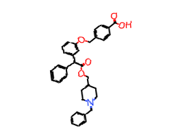 O=C(O)c1ccc(COc2cccc(C(C(=O)OCC3CCN(Cc4ccccc4)CC3)c3ccccc3)c2)cc1